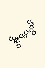 c1ccc(-c2nc(-c3ccccc3)nc(-c3ccc4c(c3)oc3cc(-n5c6ccccc6c6cc7sc8ccccc8c7cc65)ccc34)n2)cc1